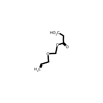 C=CCOCOC(=O)CC(=O)O